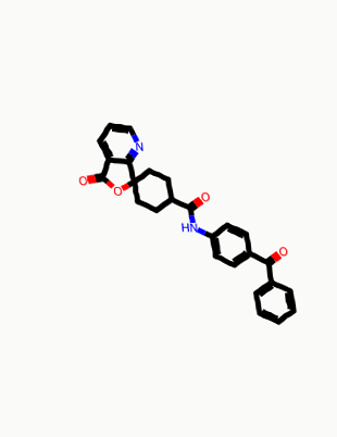 O=C(c1ccccc1)c1ccc(NC(=O)C2CCC3(CC2)OC(=O)c2cccnc23)cc1